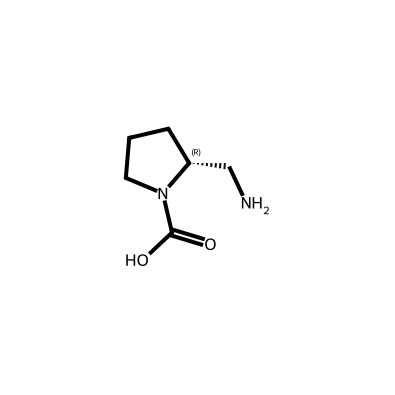 NC[C@H]1CCCN1C(=O)O